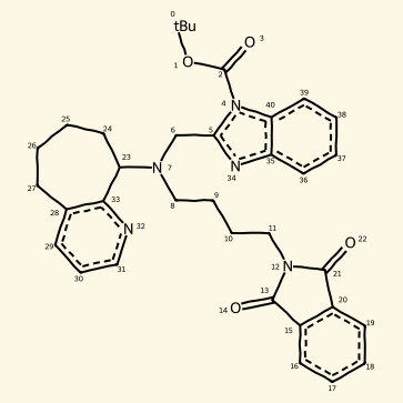 CC(C)(C)OC(=O)n1c(CN(CCCCN2C(=O)c3ccccc3C2=O)C2CCCCc3cccnc32)nc2ccccc21